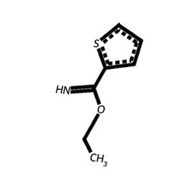 CCOC(=N)c1cc[c]s1